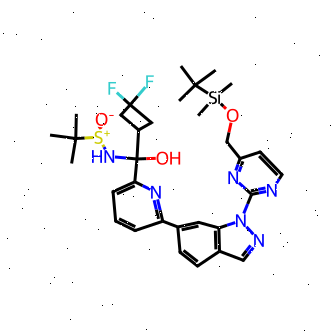 CC(C)(C)[S@@+]([O-])NC(O)(c1cccc(-c2ccc3cnn(-c4nccc(CO[Si](C)(C)C(C)(C)C)n4)c3c2)n1)C1CC(F)(F)C1